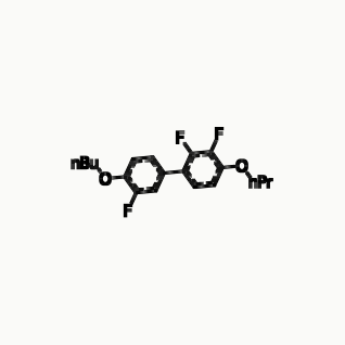 CCCCOc1ccc(-c2ccc(OCCC)c(F)c2F)cc1F